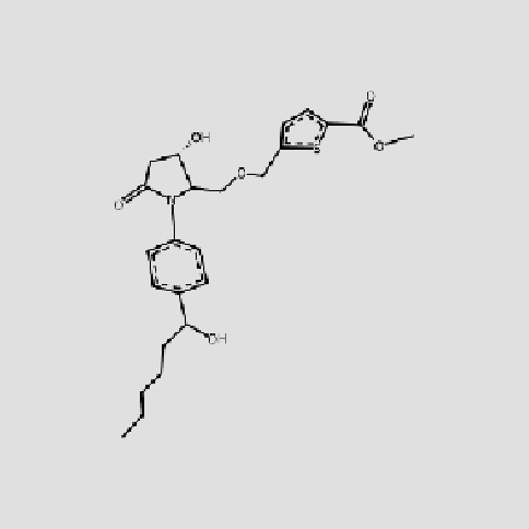 CCCCCC(O)c1ccc(N2C(=O)C[C@H](O)C2COCc2ccc(C(=O)OC)s2)cc1